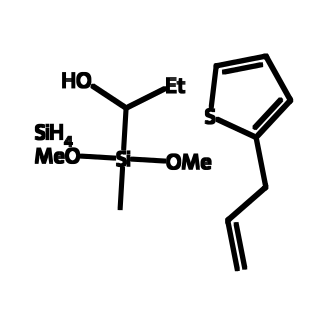 C=CCc1cccs1.CCC(O)[Si](C)(OC)OC.[SiH4]